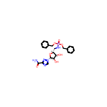 NC(=O)c1ncn([C@@H]2O[C@H](CNP(=O)(OCc3ccccc3)OCc3ccccc3)[C@@H](O)[C@H]2O)n1